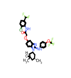 C[C@H]1C[C@@H](n2c(Nc3ccc(OC(F)(F)F)cc3)nc3cc(OCC(=O)Nc4cc(C(F)F)ccc4Cl)ccc32)CC(C)(C)C1